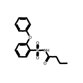 CCCC(=O)NS(=O)(=O)c1ccccc1Oc1ccccc1